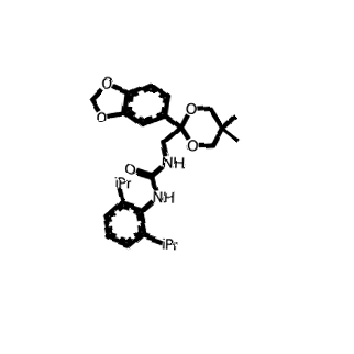 CC(C)c1cccc(C(C)C)c1NC(=O)NCC1(c2ccc3c(c2)OCO3)OCC(C)(C)CO1